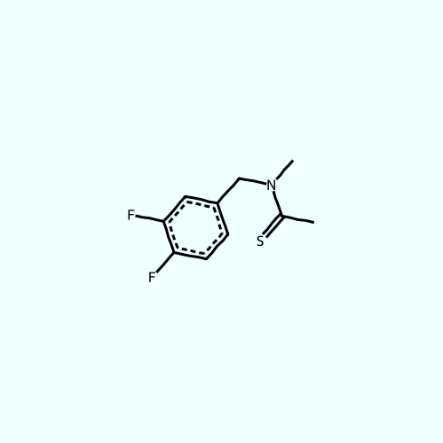 CC(=S)N(C)Cc1ccc(F)c(F)c1